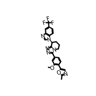 COc1cc(-c2nnc3n2CCCC3n2cnc3cc(C(F)(F)F)ccc32)ccc1-c1cnc(C)o1